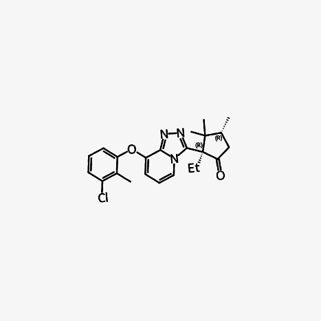 CC[C@@]1(c2nnc3c(Oc4cccc(Cl)c4C)cccn23)C(=O)C[C@@H](C)C1(C)C